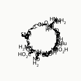 CSCc1cc2cc(c1)OCCCCCCO/N=C/C(=O)N[C@@H](CCCNC(=N)N)C(=O)N[C@@H](C)C(=O)N1CCC[C@H]1C(=O)N[C@@H](CC(C)(C)C)C(=O)N[C@@H](CC(=O)O)C(=O)N[C@@H](C(C)C)C(=O)N1CCC[C@H]1C(=O)N[C@@H](CCC(N)=O)C(=O)N[C@@H](CCC(=O)O)C(=O)N[C@H](C(N)=O)CSC2